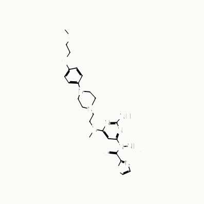 COCCOc1ccc(N2CCN(CCN(C)c3cc(N(N)C(=O)c4ncco4)nc(N)n3)CC2)cc1